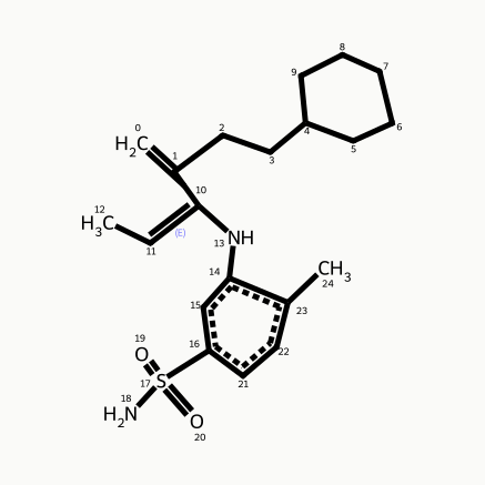 C=C(CCC1CCCCC1)/C(=C\C)Nc1cc(S(N)(=O)=O)ccc1C